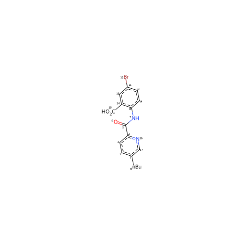 CCCCc1ccc(C(=O)Nc2ccc(Br)cc2C(=O)O)nc1